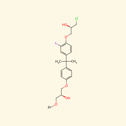 CC(C)OC[C@H](O)COc1ccc(C(C)(C)c2ccc(OC[C@@H](O)CCl)c(I)c2)cc1